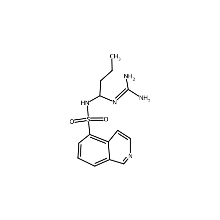 CCCC(N=C(N)N)NS(=O)(=O)c1cccc2cnccc12